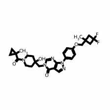 CC1(COc2ccc(-n3ncc4c(=O)n(CC5(O)CCN(C(=O)C6(C)CC6)CC5)cnc43)cc2)CC(F)(F)C1